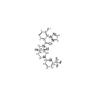 O=C(c1cccc(F)c1-n1nccn1)N1C[C@H]2CCN(c3cccc(C(F)(F)F)n3)C[C@H]21